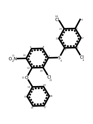 Cc1cc(Cl)c(Sc2ccc([N+](=O)[O-])c(Oc3ccccc3)c2Cl)cc1Cl